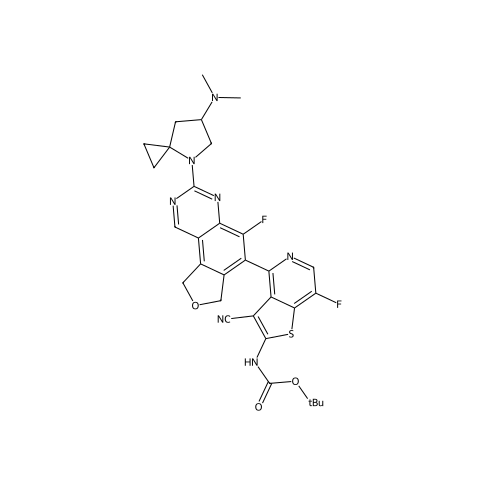 CN(C)C1CN(c2ncc3c4c(c(-c5ncc(F)c6sc(NC(=O)OC(C)(C)C)c(C#N)c56)c(F)c3n2)COC4)C2(CC2)C1